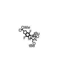 COC(=O)C1Cc2c(c(F)c3[nH]c(C(COC(C)(C)C)N(C)C(=O)OC(C)(C)C)nc3c2F)C1